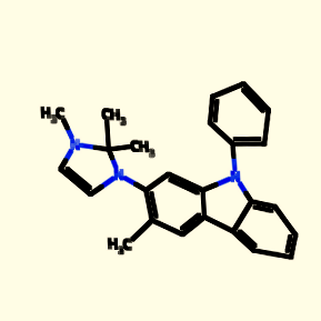 Cc1cc2c3ccccc3n(-c3ccccc3)c2cc1N1C=CN(C)C1(C)C